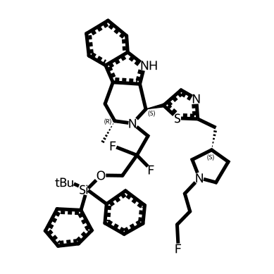 C[C@@H]1Cc2c([nH]c3ccccc23)[C@@H](c2cnc(C[C@@H]3CCN(CCCF)C3)s2)N1CC(F)(F)CO[Si](c1ccccc1)(c1ccccc1)C(C)(C)C